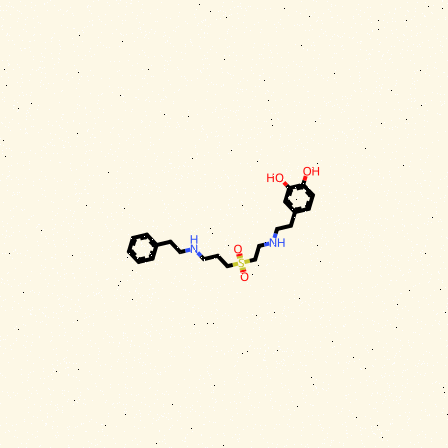 O=S(=O)(CCCNCCc1ccccc1)CCNCCc1ccc(O)c(O)c1